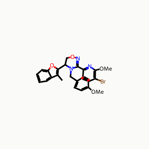 COc1ccc(CN2C(c3ccc(Br)c(OC)n3)=NOCC2c2oc3ccccc3c2C)cc1